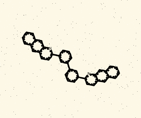 c1cc(-c2cccc(-c3ccc4cc5ccccc5cc4n3)c2)cc(-c2ccc3cc4ccccc4cc3n2)c1